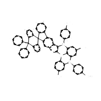 CC(C)(C)c1ccc(N2c3cc(C(C)(C)C)ccc3B3c4sc5cc6c(cc5c4N(c4ccc(C(C)(C)C)cc4)c4cc(C(C)(C)C)cc2c43)-c2ccccc2C62c3ccccc3C(c3ccccc3)(c3ccccc3)c3ccccc32)cc1